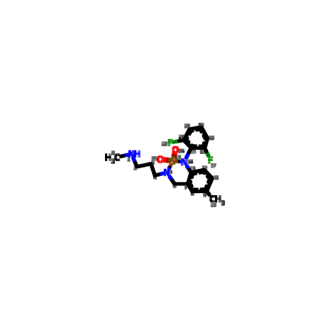 CNCCCN1Cc2cc(C)ccc2N(c2c(F)cccc2F)S1(=O)=O